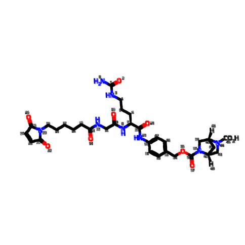 NC(=O)NCCC[C@H](NC(=O)CNC(=O)CCCCCN1C(=O)C=CC1=O)C(=O)Nc1ccc(COC(=O)N2C[C@H]3C[C@@H]2CN3C(=O)O)cc1